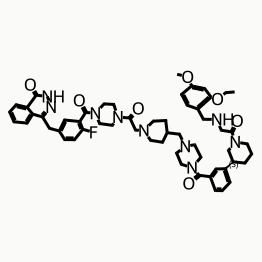 CCOc1cc(OC)ccc1CNCC(=O)N1CCC[C@@H](c2cccc(C(=O)N3CCN(CC4CCN(CC(=O)N5CCN(C(=O)c6cc(Cc7n[nH]c(=O)c8ccccc78)ccc6F)CC5)CC4)CC3)c2)C1